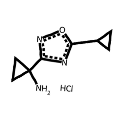 Cl.NC1(c2noc(C3CC3)n2)CC1